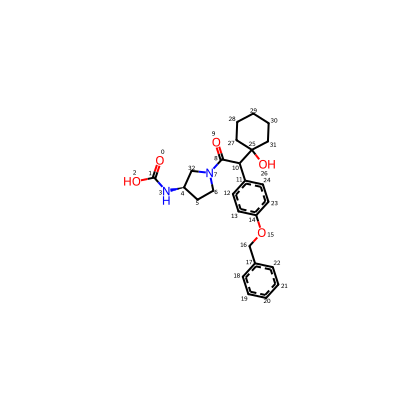 O=C(O)N[C@@H]1CCN(C(=O)C(c2ccc(OCc3ccccc3)cc2)C2(O)CCCCC2)C1